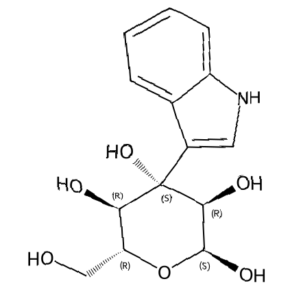 OC[C@H]1O[C@H](O)[C@H](O)[C@](O)(c2c[nH]c3ccccc23)[C@@H]1O